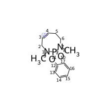 CN1C/C=C\CCN(C)P1(=O)Oc1ccccc1